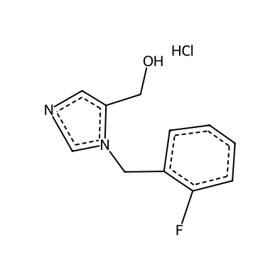 Cl.OCc1cncn1Cc1ccccc1F